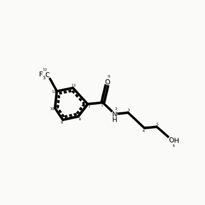 O=C(NCCCO)c1cccc(C(F)(F)F)c1